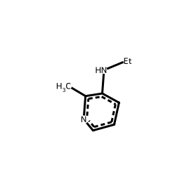 CCNc1cccnc1C